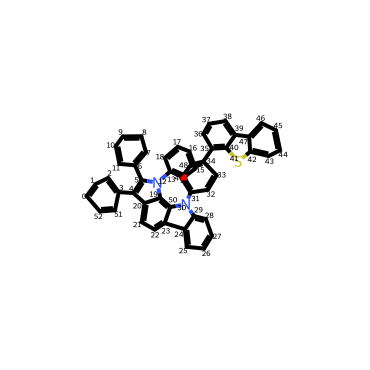 c1ccc(-c2c(-c3ccccc3)n(-c3ccccc3)c3c2ccc2c4ccccc4n(-c4ccc(-c5cccc6c5sc5ccccc56)cc4)c23)cc1